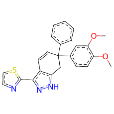 COc1ccc(C2(c3ccccc3)C=Cc3c(-c4nccs4)n[nH]c3C2)cc1OC